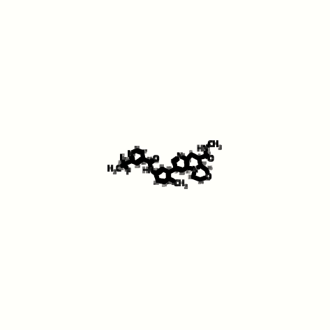 CNC(=O)C1Cc2ncc(-c3cc(NC(=O)c4ccnc(C(C)(F)F)c4)ccc3C)cc2N2CCOCC12